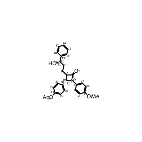 COc1ccc(N2C(=O)C(CC[C@@H](O)c3ccccc3)[C@H]2c2ccc(OC(C)=O)cc2)cc1